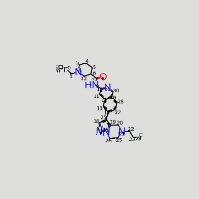 CC(C)CN1CCCC(C(=O)Nc2cc3cc(-c4cnn5c4CN(CCF)CC5)ccc3cn2)C1